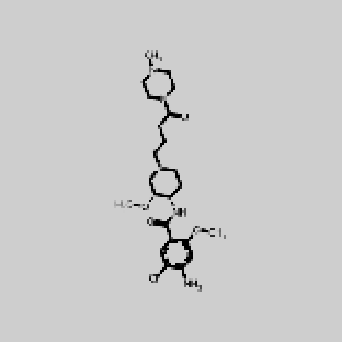 COc1cc(N)c(Cl)cc1C(=O)N[C@H]1CCN(CCCC(=O)N2CCN(C)CC2)C[C@H]1OC